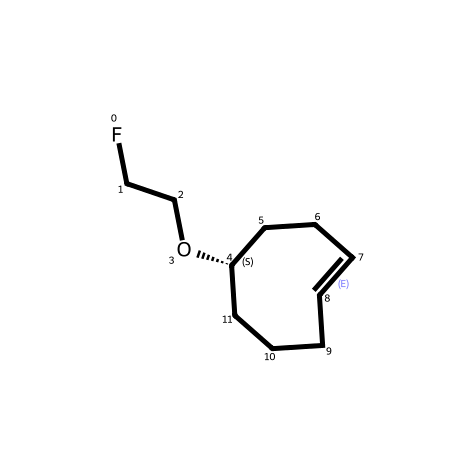 FCCO[C@@H]1CC/C=C/CCC1